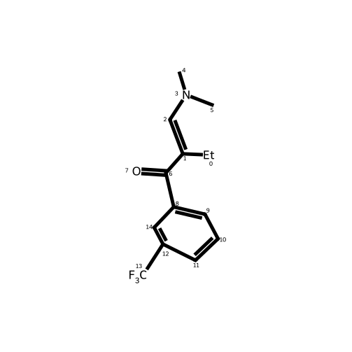 CC/C(=C\N(C)C)C(=O)c1cccc(C(F)(F)F)c1